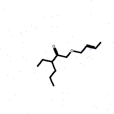 C/C=C/COCC(=O)C(CC)CCC